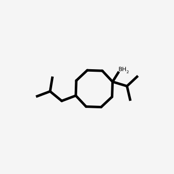 BC1(C(C)C)CCCC(CC(C)C)CCC1